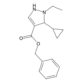 CCN1NC=C(C(=O)OCc2ccccc2)C1C1CC1